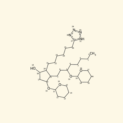 CCCCCC(CCC1C(OC2CCCCO2)CC(O)C1CCCCCCc1nnn[nH]1)OC1CCCCO1